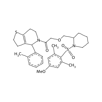 COc1cc(C)c(S(=O)(=O)N2CCCCC2COCC(=O)N2CCC3=C(CCS3)C2c2ccccc2C)c(C)c1